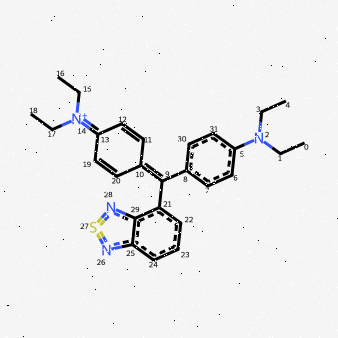 CCN(CC)c1ccc(C(=C2C=CC(=[N+](CC)CC)C=C2)c2cccc3nsnc23)cc1